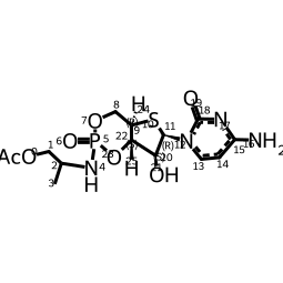 CC(=O)OCC(C)NP1(=O)OC[C@H]2S[C@@H](n3ccc(N)nc3=O)[C@@H](O)[C@@H]2O1